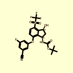 CC(C)(C)OC(=O)N[C@@H]1C[C@H](O)c2c(S(=O)(=O)C(F)(F)F)ccc(Oc3cc(F)cc(C#N)c3)c21